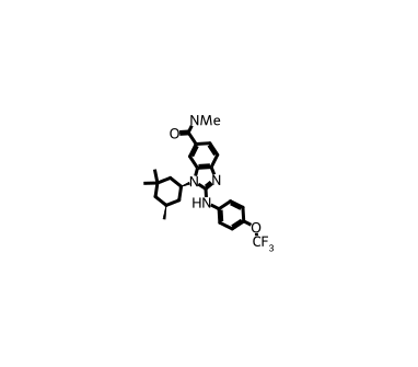 CNC(=O)c1ccc2nc(Nc3ccc(OC(F)(F)F)cc3)n([C@H]3C[C@@H](C)CC(C)(C)C3)c2c1